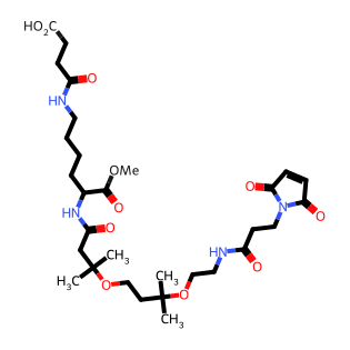 COC(=O)C(CCCCNC(=O)CCC(=O)O)NC(=O)CC(C)(C)OCCC(C)(C)OCCNC(=O)CCN1C(=O)C=CC1=O